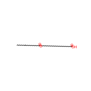 CCCCCCCCC=CCCCCCCCCCCCCCC(=O)OCCCCCCCCCCCCCCCCCCCCCCCCCCCCCCC(=O)O